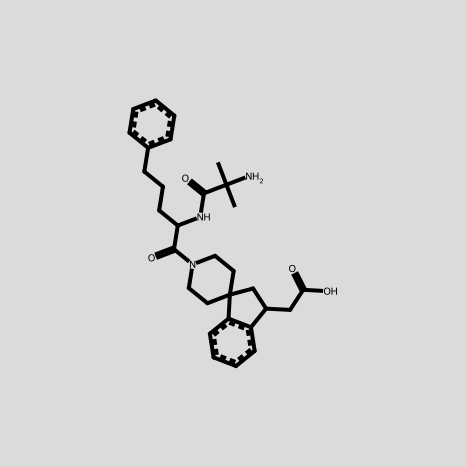 CC(C)(N)C(=O)NC(CCCc1ccccc1)C(=O)N1CCC2(CC1)CC(CC(=O)O)c1ccccc12